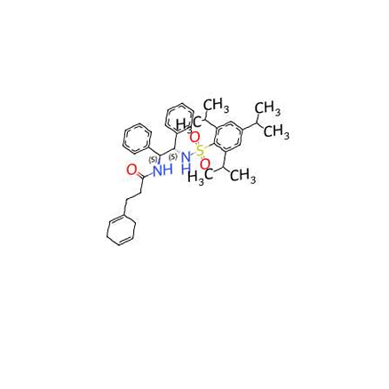 CC(C)c1cc(C(C)C)c(S(=O)(=O)N[C@@H](c2ccccc2)[C@@H](NC(=O)CCC2=CCC=CC2)c2ccccc2)c(C(C)C)c1